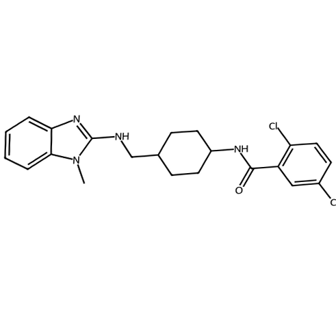 Cn1c(NCC2CCC(NC(=O)c3cc(Cl)ccc3Cl)CC2)nc2ccccc21